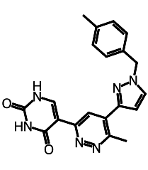 Cc1ccc(Cn2ccc(-c3cc(-c4c[nH]c(=O)[nH]c4=O)nnc3C)n2)cc1